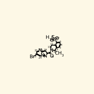 CC1c2cccc(S(C)(=O)=O)c2CCN1C(=O)c1cc2ncc(Br)cn2n1